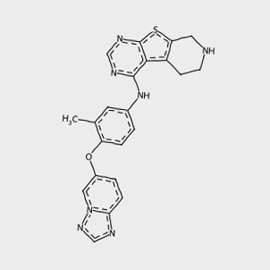 Cc1cc(Nc2ncnc3sc4c(c23)CCNC4)ccc1Oc1ccc2ncnn2c1